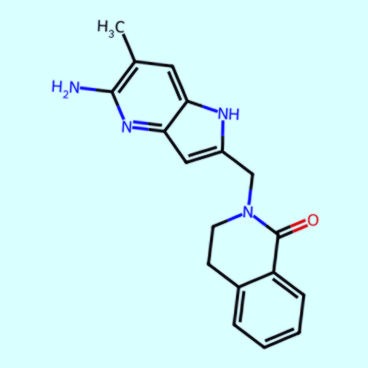 Cc1cc2[nH]c(CN3CCc4ccccc4C3=O)cc2nc1N